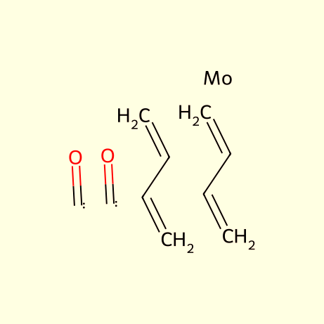 C=CC=C.C=CC=C.[C]=O.[C]=O.[Mo]